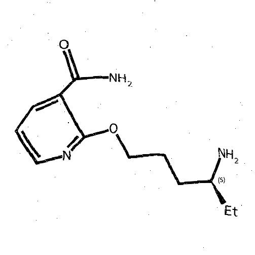 CC[C@H](N)CCCOc1ncccc1C(N)=O